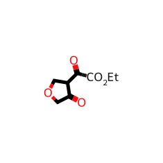 CCOC(=O)C(=O)C1COCC1=O